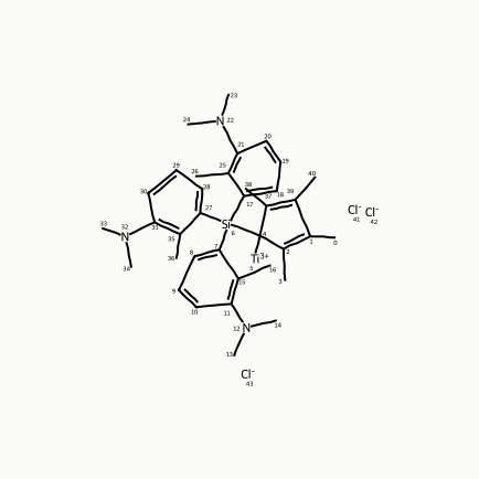 CC1=C(C)[C]([Ti+3])([Si](c2cccc(N(C)C)c2C)(c2cccc(N(C)C)c2C)c2cccc(N(C)C)c2C)C(C)=C1C.[Cl-].[Cl-].[Cl-]